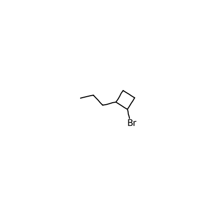 CCCC1CCC1Br